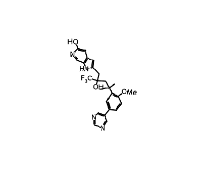 COc1ccc(-c2cncnc2)cc1C(C)(C)CC(O)(Cc1cc2cc(O)ncc2[nH]1)C(F)(F)F